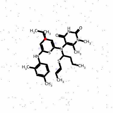 C/C=C/SC(CCC)N(/C(=C/CCC)S/C(=C\CC)Nc1ccc(C)cc1C)c1c(C)n(C)c(=O)[nH]c1=O